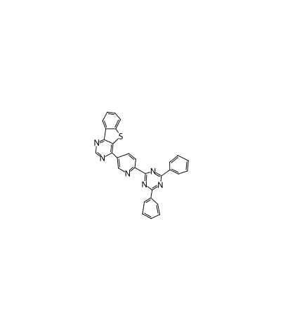 c1ccc(-c2nc(-c3ccccc3)nc(-c3ccc(-c4ncnc5c4sc4ccccc45)cn3)n2)cc1